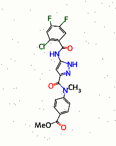 COC(=O)c1ccc(N(C)C(=O)c2cc(NC(=O)c3cc(F)c(F)cc3Cl)[nH]n2)cc1